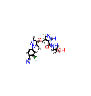 Cc1nn(-c2ccc(C#N)c(Cl)c2)c(C)c1OCc1cn[nH]c1C(=O)NCC(C)(C)O